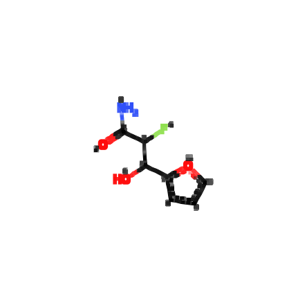 NC(=O)C(F)C(O)c1ccco1